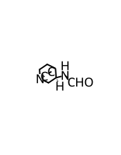 O=CN[C@H]1CN2CCC1CC2